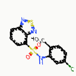 O=C(O)c1ccc(Cl)cc1NS(=O)(=O)c1cccc2nsnc12